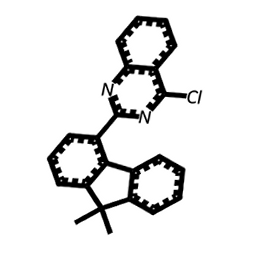 CC1(C)c2ccccc2-c2c(-c3nc(Cl)c4ccccc4n3)cccc21